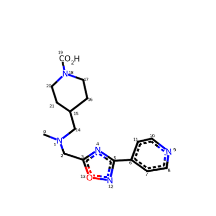 CN(Cc1nc(-c2ccncc2)no1)CC1CCN(C(=O)O)CC1